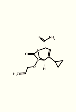 C=CCON1C(=O)N2C[C@H]1C(C1CC1)=C[C@H]2C(N)=O